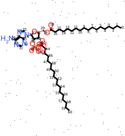 CCCCCCCCCCCCCCCCCC(=O)OC[C@H]1O[C@@H](n2cnc3c(N)ncnc32)[C@H](OP(=O)(O)O)[C@@H]1OC(=O)CCCCCCCCCCCCCCCCC